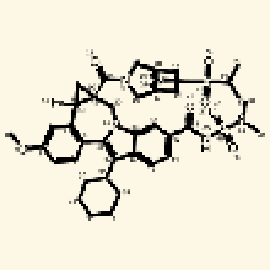 COc1ccc2c(c1)[C@@H]1C[C@]1(C(=O)N1CC34CCC3(C1)CN(S(=O)(=O)C(C)C)C4)Cn1c-2c(C2CCCCC2)c2ccc(C(=O)NS(=O)(=O)N(C)C)cc21